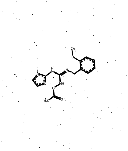 COc1ccccc1CN=C(NOC(C)=O)Nc1ncc[nH]1